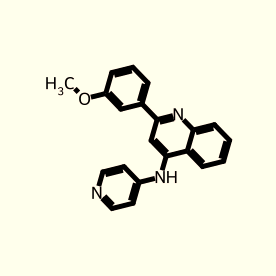 COc1cccc(-c2cc(Nc3ccncc3)c3ccccc3n2)c1